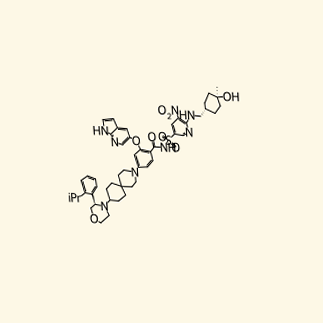 CC(C)c1ccccc1[C@@H]1COCCN1C1CCC2(CC1)CCN(c1ccc(C(=O)NS(=O)(=O)c3cnc(NC[C@H]4CC[C@](C)(O)CC4)c([N+](=O)[O-])c3)c(Oc3cnc4[nH]ccc4c3)c1)CC2